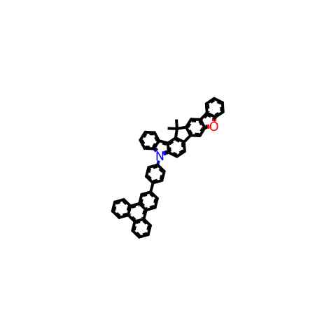 CC1(C)c2cc3c(cc2-c2ccc4c(c21)c1ccccc1n4-c1ccc(-c2ccc4c5ccccc5c5ccccc5c4c2)cc1)oc1ccccc13